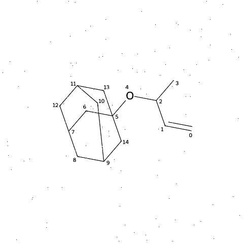 C=CC(C)OC12CC3CC(CC(C3)C1)C2